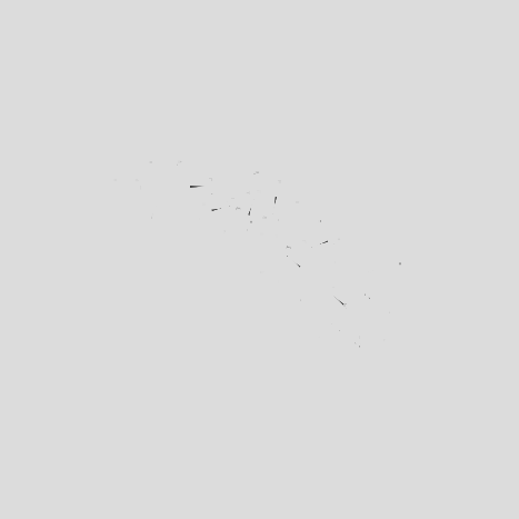 C[C@]12CC[C@H](C3C(=O)NCCN3C(=O)O)C[C@@]1(O)CC[C@@H]1[C@@H]2CC[C@]2(C)[C@@H](c3ccc(=O)oc3)CC[C@]12O